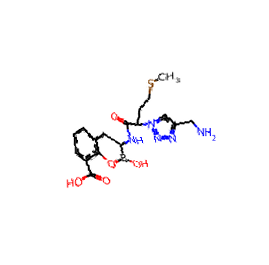 CSCCC(C(=O)NC1Cc2cccc(C(=O)O)c2OB1O)n1cc(CN)nn1